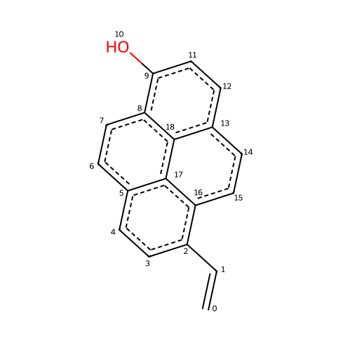 C=Cc1ccc2ccc3c(O)ccc4ccc1c2c43